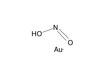 O=NO.[Au]